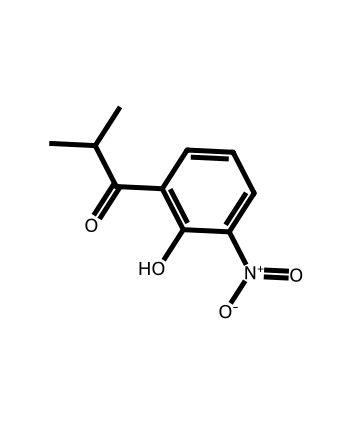 CC(C)C(=O)c1cccc([N+](=O)[O-])c1O